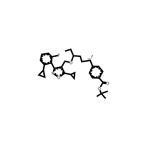 CCC(CC[C@H](C)c1ccc(C(=O)OC(C)(C)C)cc1)OCc1c(-c2c(F)cccc2C2CC2)noc1C1CC1